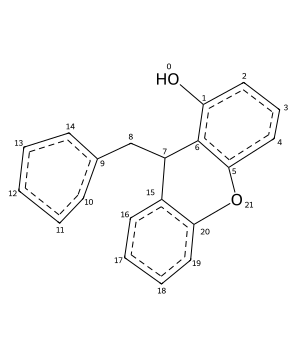 Oc1cccc2c1C(Cc1ccccc1)c1ccccc1O2